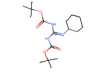 CC(C)(C)OC(=O)NC(=NC1CCCCC1)NC(=O)OC(C)(C)C